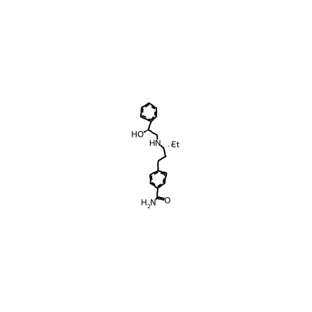 CC[C@H](CCc1ccc(C(N)=O)cc1)NC[C@@H](O)c1ccccc1